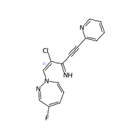 N=C(C#Cc1ccccn1)/C(Cl)=C\N1C=CC=C(F)C=N1